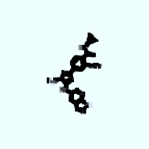 COc1cc(-c2nc(Nc3cnc4[nH]ncc4c3)n(C)n2)ccc1C(=O)NC1CC1